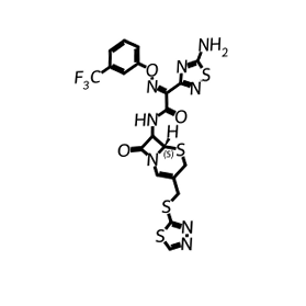 Nc1nc(C(=NOc2cccc(C(F)(F)F)c2)C(=O)NC2C(=O)N3C=C(CSc4nncs4)CS[C@@H]23)ns1